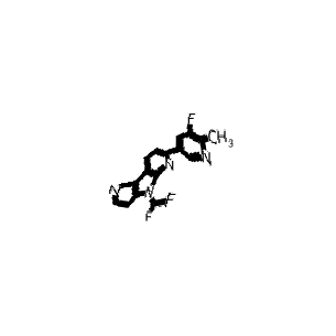 Cc1ncc(-c2ccc3c4cnccc4n(C(F)F)c3n2)cc1F